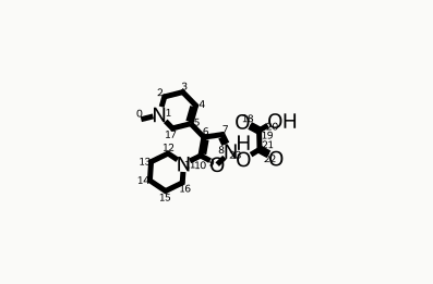 CN1CCC=C(c2cnoc2N2CCCCC2)C1.O=C(O)C(=O)O